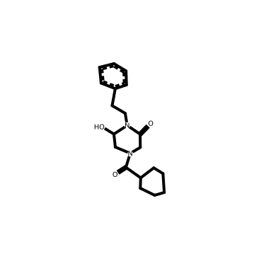 O=C(C1CCCCC1)N1CC(=O)N(CCc2ccccc2)C(O)C1